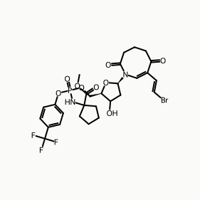 COC(=O)C1(NP(=O)(OC[C@H]2O[C@@H](N3/C=C(/C=C/Br)C(=O)CCCC3=O)CC2O)Oc2ccc(C(F)(F)F)cc2)CCCC1